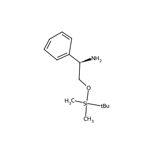 CC(C)(C)[Si](C)(C)OC[C@H](N)c1ccccc1